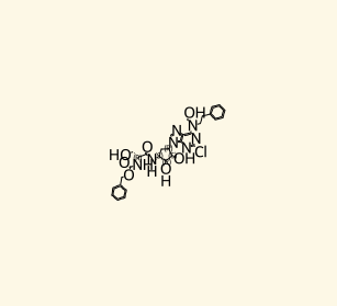 O=C(N[C@H](CO)C(=O)N[C@H]1C[C@@H](n2cnc3c(N(CO)CCc4ccccc4)nc(Cl)nc32)[C@H](O)[C@@H]1O)OCc1ccccc1